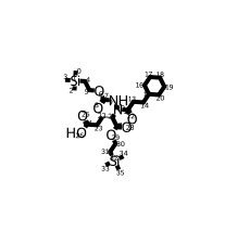 C[Si](C)(C)CCOC(=O)NN(C(=O)CCC1CCCCC1)[C@@H](CCC(=O)O)C(=O)OCC[Si](C)(C)C